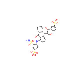 NS(=O)(=O)c1cc(S(=O)(=O)O)ccc1Nc1cccc2c1C(=O)C1=C(C=CCC1)/C2=C(/C=O)C(=O)c1cccc(S(=O)(=O)O)c1